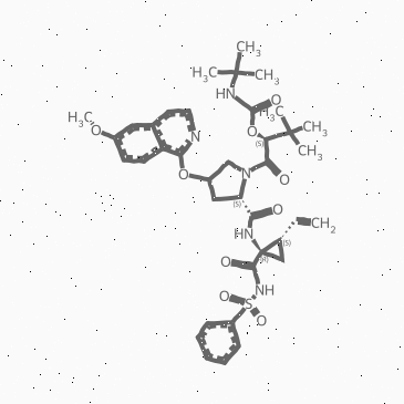 C=C[C@@H]1C[C@]1(NC(=O)[C@@H]1CC(Oc2nccc3cc(OC)ccc23)CN1C(=O)[C@@H](OC(=O)NC(C)(C)C)C(C)(C)C)C(=O)NS(=O)(=O)c1ccccc1